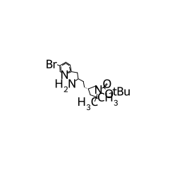 CC(C)(C)OC(=O)N1C[C@@H](CCC(N)Cc2ccc(Br)cn2)CC1(C)C